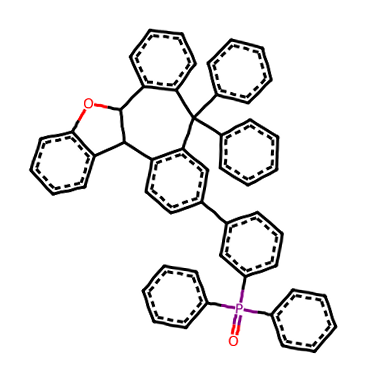 O=P(c1ccccc1)(c1ccccc1)c1cccc(-c2ccc3c(c2)C(c2ccccc2)(c2ccccc2)c2ccccc2C2Oc4ccccc4C32)c1